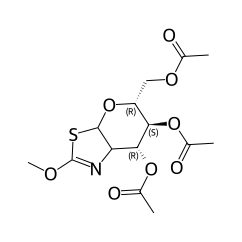 COC1=NC2C(O[C@H](COC(C)=O)[C@@H](OC(C)=O)[C@@H]2OC(C)=O)S1